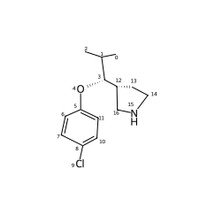 CC(C)[C@@H](Oc1ccc(Cl)cc1)[C@@H]1CCNC1